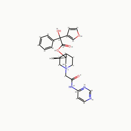 O=C(C[N+]12CCC(CC1)[C@@H](OC(=O)C(O)(c1ccccc1)c1ccoc1)C2)Nc1ccncn1